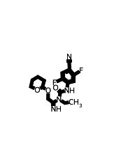 CCN(C(=N)COC1CCCCO1)C(=O)Nc1cc(F)c(C#N)cc1F